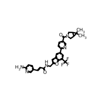 CC1(C)C2CN(C(=O)c3ccc(-c4cc(C(F)(F)F)c5oc(CNC(=O)/C=C/c6ccc(N)nc6)cc5c4)nc3)CC21